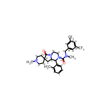 Cc1ccccc1C1C2CC3(CCN(C)CC3)C(=O)N2CCN1C(=O)N(C)Cc1cc(C(F)(F)F)cc(C(F)(F)F)c1